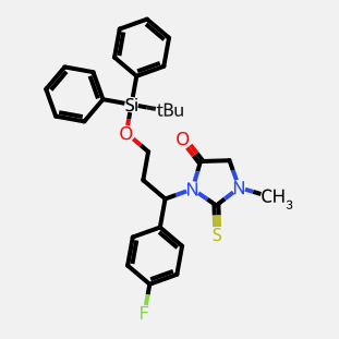 CN1CC(=O)N(C(CCO[Si](c2ccccc2)(c2ccccc2)C(C)(C)C)c2ccc(F)cc2)C1=S